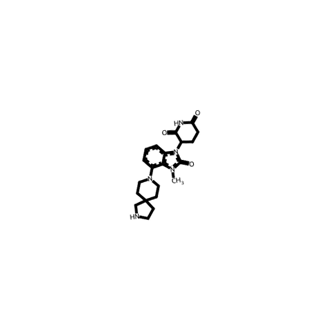 Cn1c(=O)n(C2CCC(=O)NC2=O)c2cccc(N3CCC4(CCNC4)CC3)c21